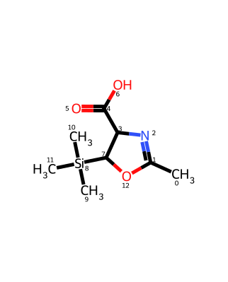 CC1=NC(C(=O)O)C([Si](C)(C)C)O1